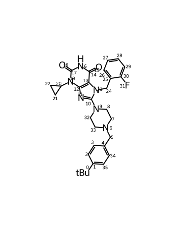 CC(C)(C)c1ccc(CN2CCN(c3nc4c(c(=O)[nH]c(=O)n4C4CC4)n3Cc3ccccc3F)CC2)cc1